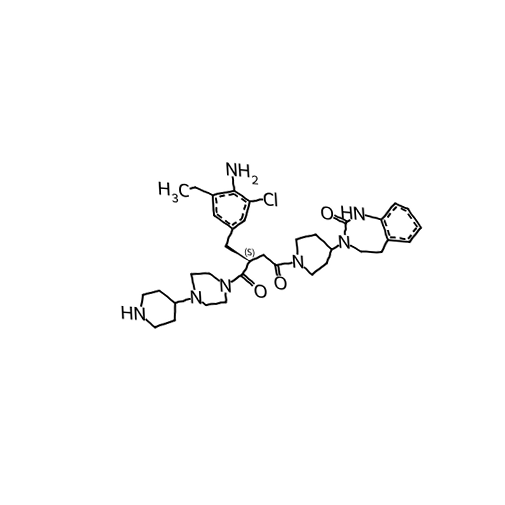 CCc1cc(C[C@@H](CC(=O)N2CCC(N3CCc4ccccc4NC3=O)CC2)C(=O)N2CCN(C3CCNCC3)CC2)cc(Cl)c1N